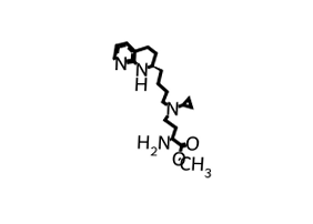 COC(=O)[C@@H](N)CCN(CCCC[C@@H]1CCc2cccnc2N1)C1CC1